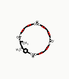 C=C/C1=C\C=C(/C)c2ccc(cc2)C[S+]([O-])Cc2ccc(cc2)-c2ccc(cc2)C[S+]([O-])Cc2ccc(cc2)-c2ccc(cc2)C[S+]([O-])Cc2ccc(cc2)-c2ccc(cc2)C[S+]([O-])C1